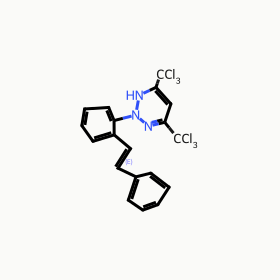 ClC(Cl)(Cl)C1=CC(C(Cl)(Cl)Cl)=NN(c2ccccc2/C=C/c2ccccc2)N1